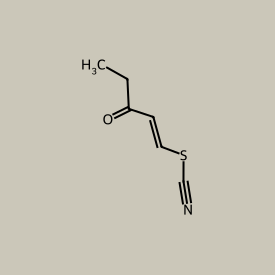 CCC(=O)/C=C/SC#N